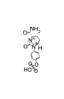 NC(=O)[C@@H]1CC[C@@H]2CN1C(=O)N2c1ccc(OS(=O)(=O)O)cc1